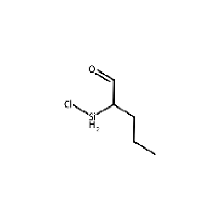 CCCC(C=O)[SiH2]Cl